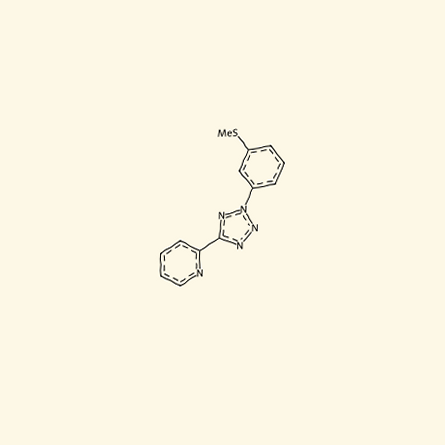 CSc1cccc(-n2nnc(-c3ccccn3)n2)c1